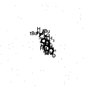 CC(C)(C)NC(=S)N(C(=O)[C@H]1CC[C@H]2[C@@H]3CC[C@H]4NC(=O)CC[C@]4(C)[C@H]3CC[C@]12C)C(C)(C)C